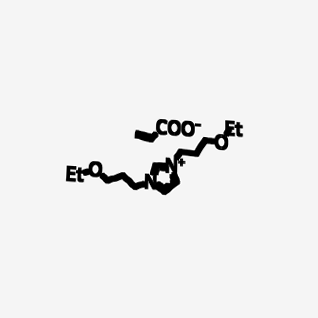 C=CC(=O)[O-].CCOCCCn1cc[n+](CCCOCC)c1